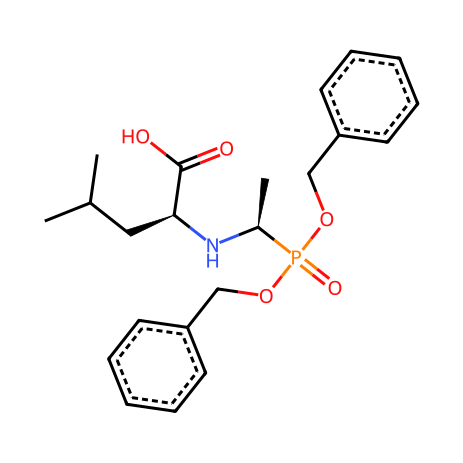 CC(C)C[C@H](N[C@@H](C)P(=O)(OCc1ccccc1)OCc1ccccc1)C(=O)O